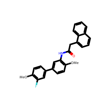 COc1ccc(-c2ccc(OC)c(NC(=O)Cc3cccc4ccccc34)c2)cc1F